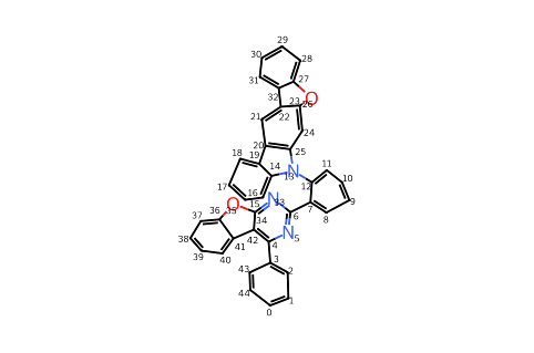 c1ccc(-c2nc(-c3ccccc3-n3c4ccccc4c4cc5c(cc43)oc3ccccc35)nc3oc4ccccc4c23)cc1